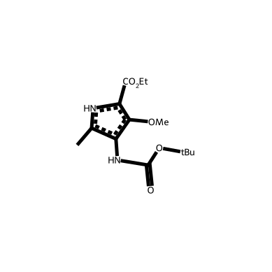 CCOC(=O)c1[nH]c(C)c(NC(=O)OC(C)(C)C)c1OC